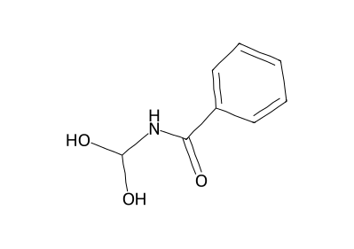 O=C(NC(O)O)c1ccccc1